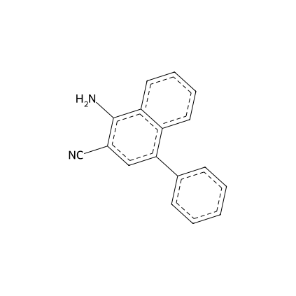 N#Cc1cc(-c2ccccc2)c2ccccc2c1N